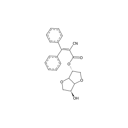 N#CC(C(=O)O[C@@H]1COC2C1OC[C@@H]2O)=C(c1ccccc1)c1ccccc1